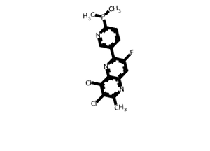 Cc1nc2cc(F)c(-c3ccc(P(C)C)nc3)nc2c(Cl)c1Cl